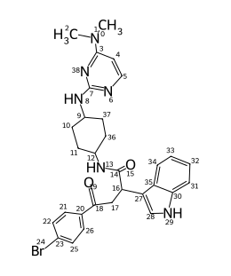 CN(C)c1ccnc(NC2CCC(NC(=O)C(CC(=O)c3ccc(Br)cc3)c3c[nH]c4ccccc34)CC2)n1